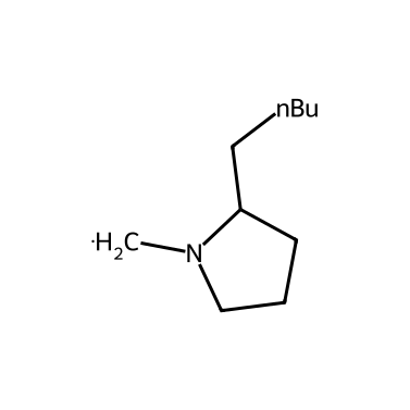 [CH2]N1CCCC1CCCCC